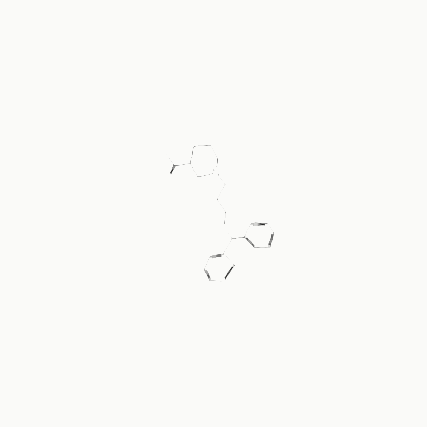 O=C(O)C1CCCN(CCCOC(c2ccccc2)c2ccccc2)C1